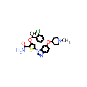 CC(Oc1cc(-n2cnc3ccc(OC4CCN(C)CC4)cc32)sc1C(N)=O)c1ccccc1Cl